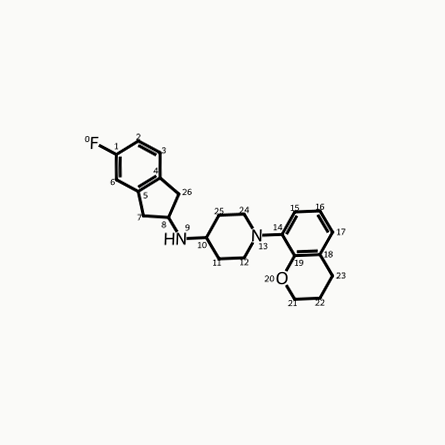 Fc1ccc2c(c1)CC(NC1CCN(c3cccc4c3OCCC4)CC1)C2